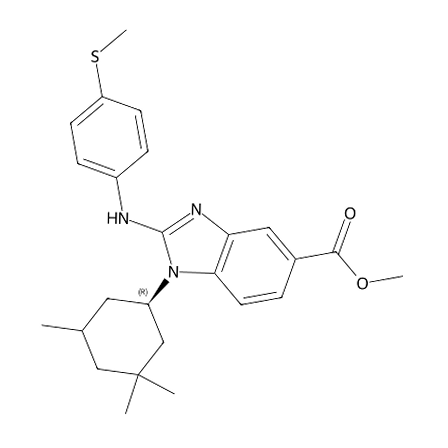 COC(=O)c1ccc2c(c1)nc(Nc1ccc(SC)cc1)n2[C@@H]1CC(C)CC(C)(C)C1